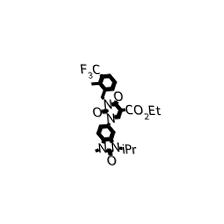 CCOC(=O)c1cn(-c2ccc3c(c2)n(C(C)C)c(=O)n3C)c(=O)n(Cc2cccc(C(F)(F)F)c2C)c1=O